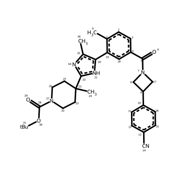 Cc1ccc(C(=O)N2CC(c3ccc(C#N)cc3)C2)cc1-c1[nH]c(C2(C)CCN(C(=O)OC(C)(C)C)CC2)nc1C